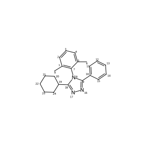 Cc1cccc(C)c1-n1c(-c2ccccc2)nnc1C1CCCCC1